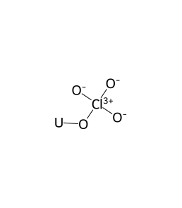 [O-][Cl+3]([O-])([O-])[O][U]